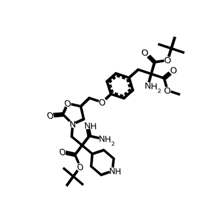 COC(=O)C(N)(Cc1ccc(OCC2CN(CC(C(=N)N)(C(=O)OC(C)(C)C)C3CCNCC3)C(=O)O2)cc1)C(=O)OC(C)(C)C